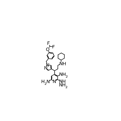 NNc1nc(N)cc(C(CCNC2CCCCC2)c2cnn(Cc3cccc(OC(F)F)c3)c2)c1N